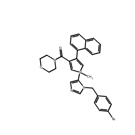 C[N+]1(c2cncn2Cc2ccc(Br)cc2)C=C(C(=O)N2CCOCC2)C(c2cccc3ccccc23)=C1